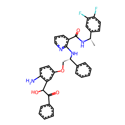 C[C@H](NC(=O)c1cccnc1N[C@@H](COc1ccc(N)c(C(O)C(=O)c2ccccc2)c1)c1ccccc1)c1ccc(F)c(F)c1